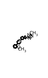 COc1ccccc1C1CCN([C@@H]2CCC3(C2)CN(c2ncnc(C)n2)C3)CC1